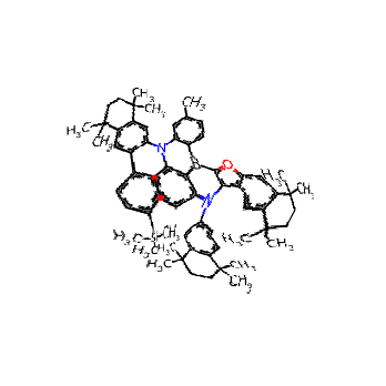 Cc1ccc2c(c1)N(c1cc3c(cc1-c1ccc([Si](C)(C)C)cc1)C(C)(C)CCC3(C)C)c1cccc3c1B2c1oc2cc4c(cc2c1N3c1ccc2c(c1)C(C)(C)CCC2(C)C)C(C)(C)CCC4(C)C